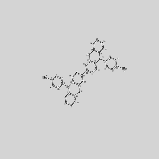 CC(C)(C)c1ccc(N2c3ccccc3Sc3cc(-c4ccc5c(c4)Sc4ccccc4N5c4ccc(C(C)(C)C)cc4)ccc32)cc1